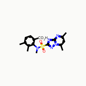 Cc1cc(C)n2nc(S(=O)(=O)N(C)c3c(C(=O)O)ccc(C)c3C)nc2n1